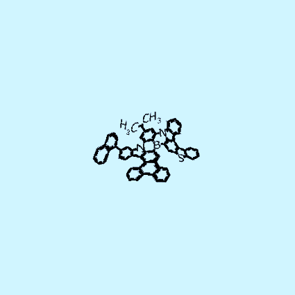 CC(C)c1cc2c3c(c1)-n1c4cc(-c5c#ccc6ccccc56)ccc4c4c5c6ccccc6c6ccccc6c5cc(c41)B3c1cc3sc4ccccc4c3c3c4ccccc4n-2c13